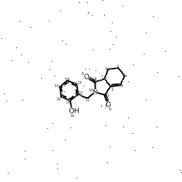 O=C1C2=CCCCC2C(=O)N1Cc1ccccc1O